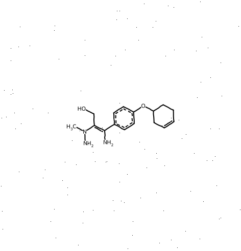 CN(N)/C(CO)=C(\N)c1ccc(OC2CC=CCC2)cc1